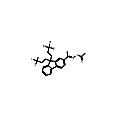 CC(=O)O/N=C(\C)c1ccc2c(c1)C(CCC(F)(F)F)(CCC(F)(F)F)c1ccccc1-2